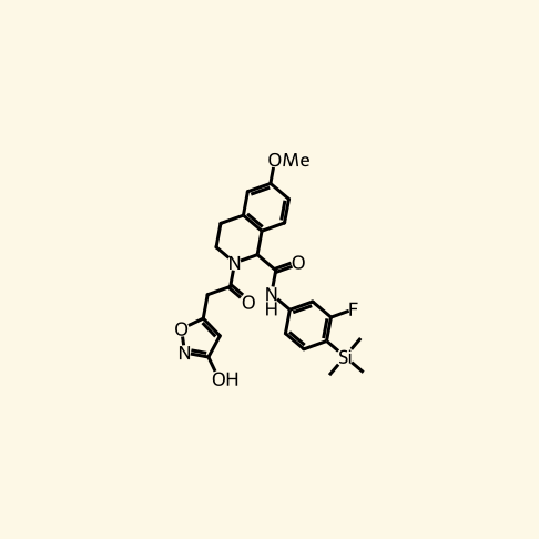 COc1ccc2c(c1)CCN(C(=O)Cc1cc(O)no1)C2C(=O)Nc1ccc([Si](C)(C)C)c(F)c1